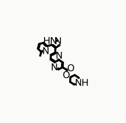 Cc1cccc(-c2[nH]ncc2-c2ccc3ncc(C(=O)OC4CCNCC4)cc3n2)n1